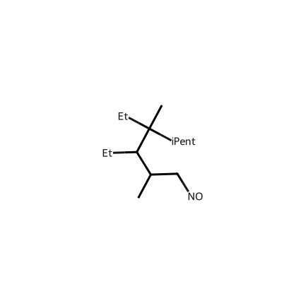 CCCC(C)C(C)(CC)C(CC)C(C)CN=O